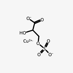 O=C([O-])C(O)COS(=O)(=O)[O-].[Cu+2]